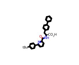 CC(C)(C)c1ccc(-c2cccc(C(=O)N[C@@H](Cc3ccc(-c4ccccc4)cc3)C(=O)O)n2)cc1